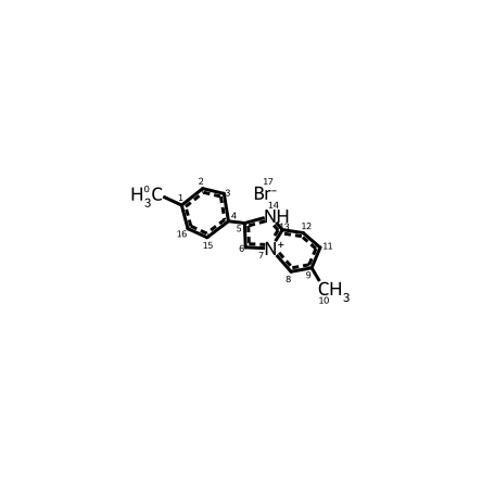 Cc1ccc(-c2c[n+]3cc(C)ccc3[nH]2)cc1.[Br-]